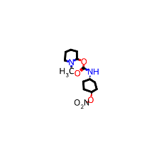 CN1CCCCC1OC(=O)N[C@H]1CC[C@H](O[N+](=O)[O-])CC1